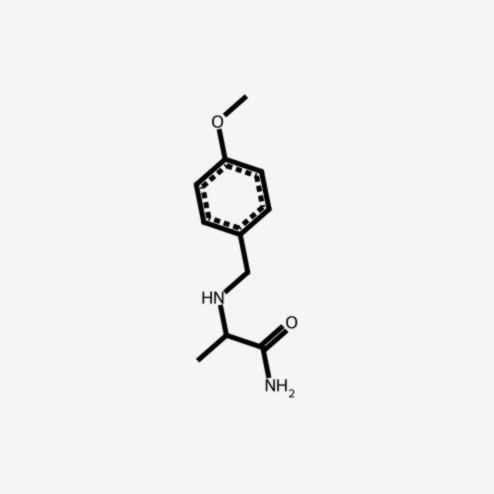 COc1ccc(CNC(C)C(N)=O)cc1